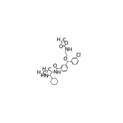 CN[C@H](C1CCCCC1)C(C)NC(=O)c1cccc(C(OCCNC(=O)OC)c2cccc(Cl)c2)c1